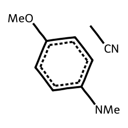 CC#N.CNc1ccc(OC)cc1